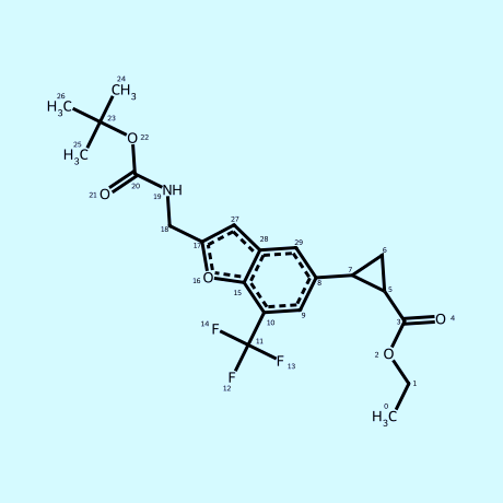 CCOC(=O)C1CC1c1cc(C(F)(F)F)c2oc(CNC(=O)OC(C)(C)C)cc2c1